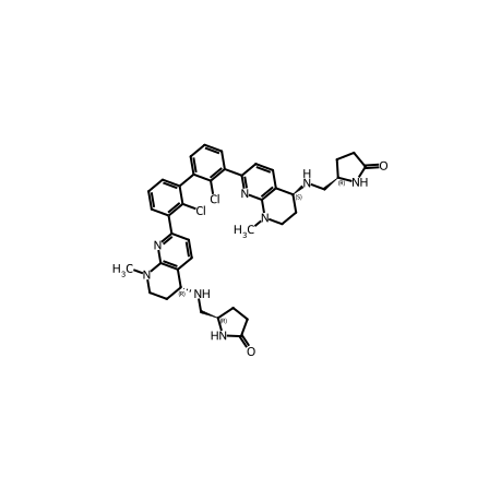 CN1CC[C@H](NC[C@H]2CCC(=O)N2)c2ccc(-c3cccc(-c4cccc(-c5ccc6c(n5)N(C)CC[C@H]6NC[C@H]5CCC(=O)N5)c4Cl)c3Cl)nc21